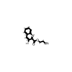 CC(C)CCOC(=O)c1nc2ccccc2cc1I